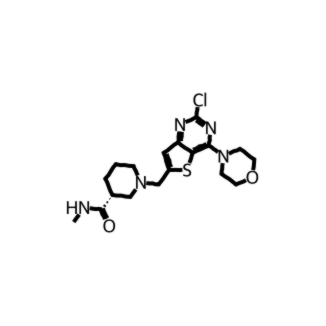 CNC(=O)[C@@H]1CCCN(Cc2cc3nc(Cl)nc(N4CCOCC4)c3s2)C1